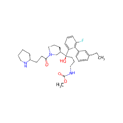 CCc1cccc(-c2c(F)cccc2[C@](O)(CCCNC(=O)OC)[C@@H]2CCCN(C(=O)CCC3CCCCN3)C2)c1